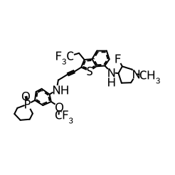 CN1CCC(Nc2cccc3c(CC(F)(F)F)c(C#CCNc4ccc(P5(=O)CCCCC5)cc4OC(F)(F)F)sc23)C(F)C1